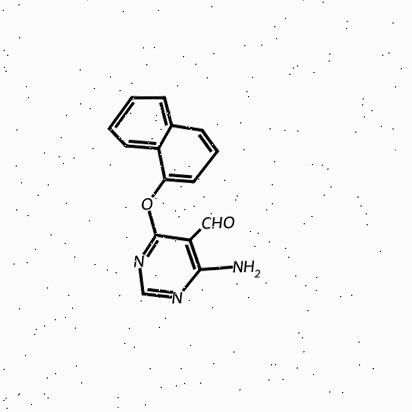 Nc1ncnc(Oc2cccc3ccccc23)c1C=O